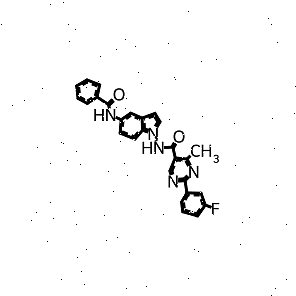 Cc1nc(-c2cccc(F)c2)ncc1C(=O)Nn1ccc2cc(NC(=O)c3ccccc3)ccc21